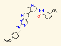 COc1ccc(CN(C)c2ncc3cc(-c4cc(NC(=O)c5cccc(C(F)(F)F)c5)cnc4C)cnc3n2)cc1